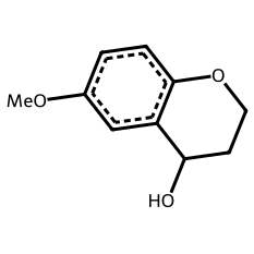 COc1ccc2c(c1)C(O)CCO2